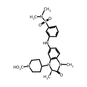 C[C@@H]1C(=O)N(C)c2ccc(Nc3cccc(S(=O)(=O)N(C)C)c3)cc2N1C1CCN(C(=O)O)CC1